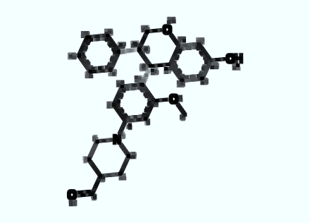 COc1cc(N2CCC(C=O)CC2)ccc1[C@H]1c2ccc(O)cc2OC[C@H]1c1ccccc1